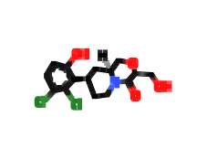 O=C1C(CO)OC[C@@H]2C[C@H](c3c(O)ccc(Cl)c3Cl)CCN12